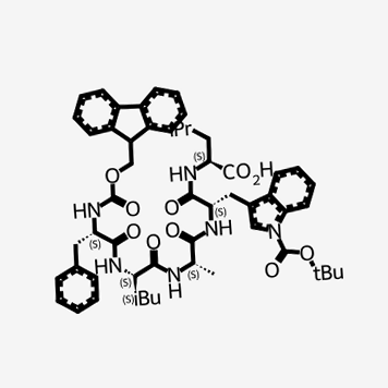 CC[C@H](C)[C@H](NC(=O)[C@H](Cc1ccccc1)NC(=O)OCC1c2ccccc2-c2ccccc21)C(=O)N[C@@H](C)C(=O)N[C@@H](Cc1cn(C(=O)OC(C)(C)C)c2ccccc12)C(=O)N[C@@H](CC(C)C)C(=O)O